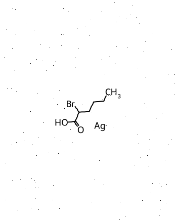 CCCCC(Br)C(=O)O.[Ag]